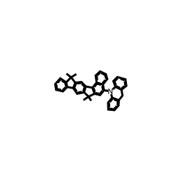 CC1(C)c2ccccc2-c2cc3c(cc21)-c1c(cc(N2c4ccccc4Cc4ccccc42)c2ccccc12)C3(C)C